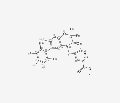 COC(=O)c1cccc(CN2C(=O)C(F)(F)Oc3cc(F)c(-c4c(F)c(F)c(F)c(F)c4F)cc32)c1